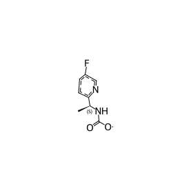 C[C@H](NC([O])=O)c1ccc(F)cn1